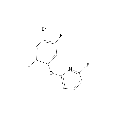 Fc1cccc(Oc2cc(F)c(Br)cc2F)n1